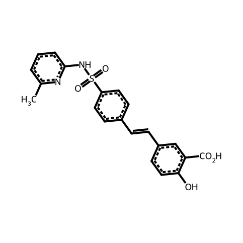 Cc1cccc(NS(=O)(=O)c2ccc(/C=C/c3ccc(O)c(C(=O)O)c3)cc2)n1